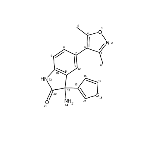 Cc1noc(C)c1-c1ccc2c(c1)C(N)(c1ccsc1)C(=O)N2